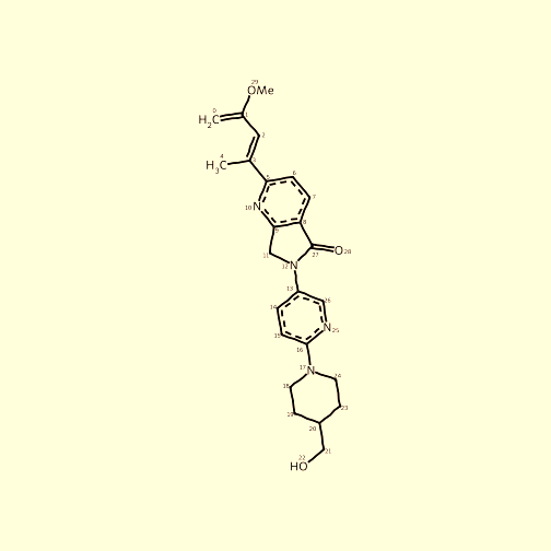 C=C(/C=C(\C)c1ccc2c(n1)CN(c1ccc(N3CCC(CO)CC3)nc1)C2=O)OC